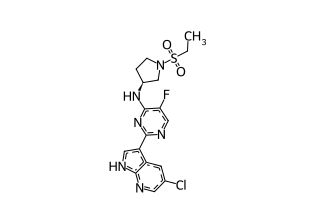 CCS(=O)(=O)N1CC[C@H](Nc2nc(-c3c[nH]c4ncc(Cl)cc34)ncc2F)C1